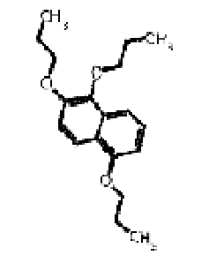 CCCOc1c[c]c2c(OCCC)cccc2c1OCCC